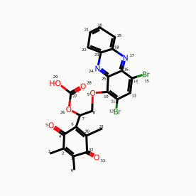 CC1=C(C)C(=O)C(C(COc2c(Br)cc(Br)c3nc4ccccc4nc23)OC(=O)O)=C(C)C1=O